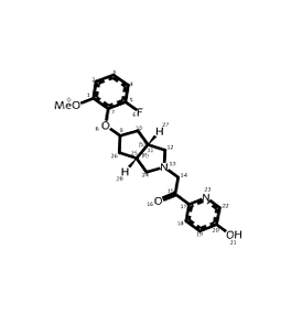 COc1cccc(F)c1OC1C[C@@H]2CN(CC(=O)c3ccc(O)cn3)C[C@@H]2C1